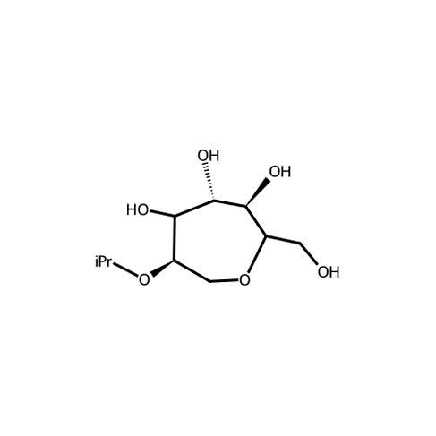 CC(C)O[C@@H]1COC(CO)[C@H](O)[C@@H](O)C1O